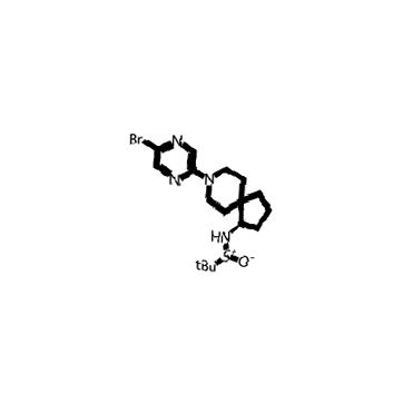 CC(C)(C)[S+]([O-])N[C@@H]1CCCC12CCN(c1cnc(Br)cn1)CC2